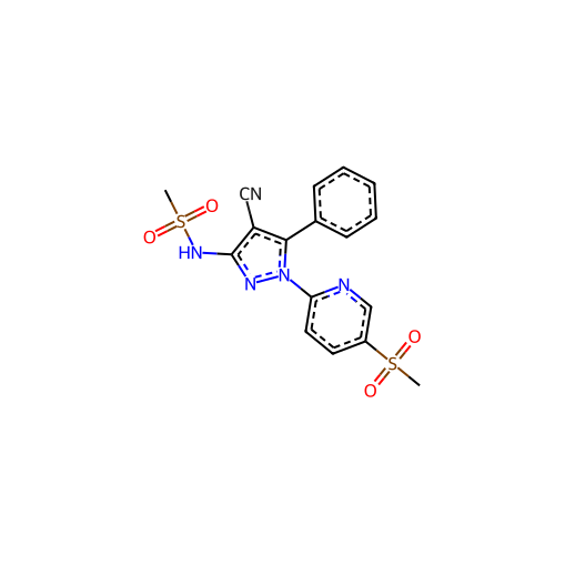 CS(=O)(=O)Nc1nn(-c2ccc(S(C)(=O)=O)cn2)c(-c2ccccc2)c1C#N